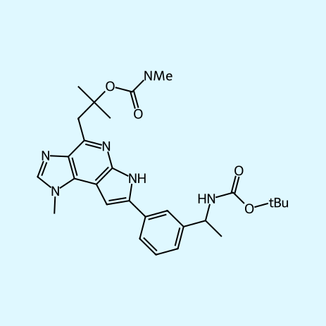 CNC(=O)OC(C)(C)Cc1nc2[nH]c(-c3cccc(C(C)NC(=O)OC(C)(C)C)c3)cc2c2c1ncn2C